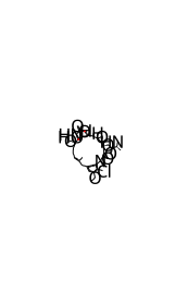 CN[C@@H](C)C(=O)O[C@H]1CC(=O)N(C)c2cc(cc(OC)c2Cl)C/C(C)=C/CC[C@@H](OC)[C@@]2(O)C[C@H](OC(=O)N2)[C@@H](C)[C@@H]2O[C@@]12C